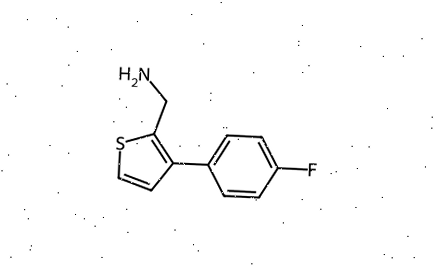 NCc1sccc1-c1ccc(F)cc1